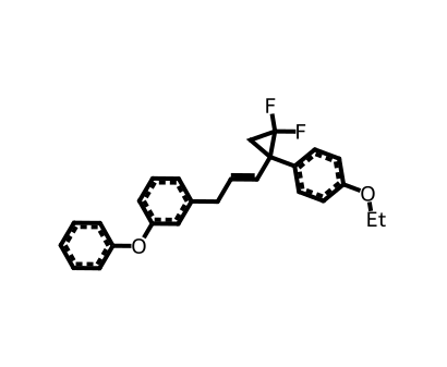 CCOc1ccc(C2(C=CCc3cccc(Oc4ccccc4)c3)CC2(F)F)cc1